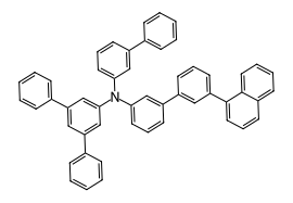 c1ccc(-c2cccc(N(c3cccc(-c4cccc(-c5cccc6ccccc56)c4)c3)c3cc(-c4ccccc4)cc(-c4ccccc4)c3)c2)cc1